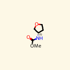 COC(=O)N[C@H]1CCOC1